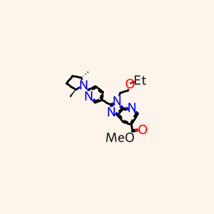 CCOCCn1c(-c2ccc(N3[C@@H](C)CC[C@@H]3C)nc2)nc2cc(C(=O)OC)cnc21